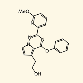 COc1cccc(-c2nc(Oc3ccccc3)c3c(CCO)ccn3n2)n1